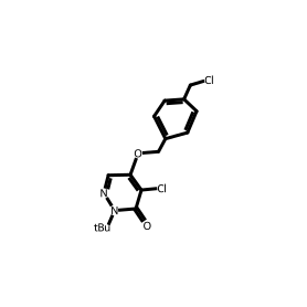 CC(C)(C)n1ncc(OCc2ccc(CCl)cc2)c(Cl)c1=O